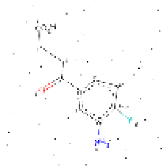 Nc1cc(C(=O)CCC(=O)O)ccc1F